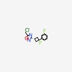 Fc1cccc([C@]2(F)C[C@@H](c3noc(CCl)n3)C2)c1